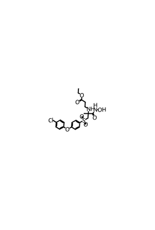 CCOC(=O)CCNC(C)(CS(=O)(=O)c1ccc(Oc2ccc(Cl)cc2)cc1)C(=O)NO